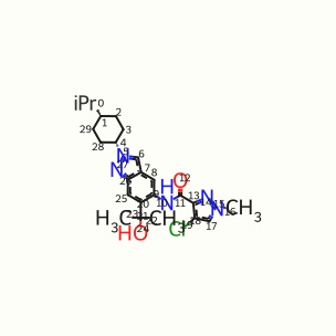 CC(C)[C@H]1CC[C@H](n2cc3cc(NC(=O)c4nn(C)cc4Cl)c(C(C)(C)O)cc3n2)CC1